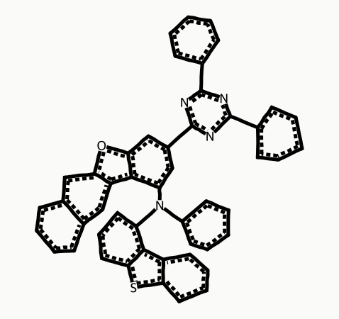 c1ccc(-c2nc(-c3ccccc3)nc(-c3cc(N(c4ccccc4)c4cccc5sc6ccccc6c45)c4c(c3)oc3cc5ccccc5cc34)n2)cc1